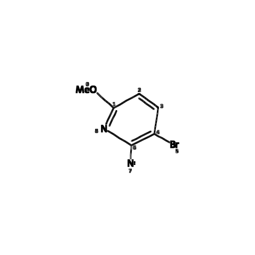 COc1ccc(Br)c([N])n1